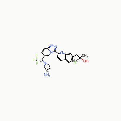 CC(C)(O)Cc1cc2nc(-c3nnc4ccc([C@H](N5CC[C@H](N)C5)C(F)(F)F)cn34)ccc2cc1F